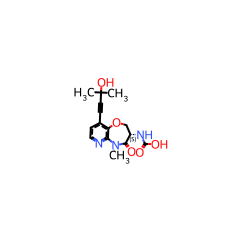 CN1C(=O)[C@@H](NC(=O)O)COc2c(C#CC(C)(C)O)ccnc21